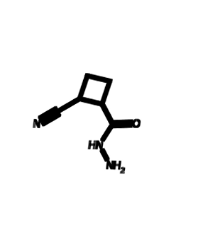 N#CC1CCC1C(=O)NN